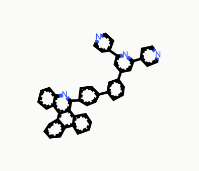 c1cc(-c2ccc(-c3nc4ccccc4c4c5ccccc5c5ccccc5c34)cc2)cc(-c2cc(-c3ccncc3)nc(-c3ccncc3)c2)c1